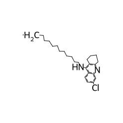 [CH2]CCCCCCCCCCCNc1c2c(nc3cc(Cl)ccc13)CCCC2